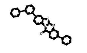 O=c1c2ccc(-c3ccccc3)cc2nc2sc3cc(-c4cccc(-c5ccccc5)c4)ccc3n12